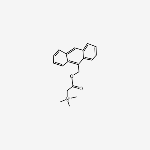 C[N+](C)(C)CC(=O)OCc1c2ccccc2cc2ccccc12